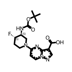 CC(C)(C)OC(=O)N[C@H]1CN(c2ccn3ncc(C(=O)O)c3n2)CC[C@@H]1F